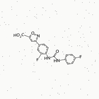 O=C(Nc1ccc(F)cc1)Nc1ccc(-c2cc(C(=O)O)on2)cc1F